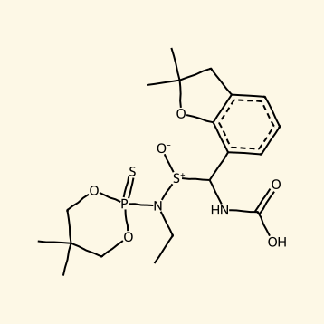 CCN([S+]([O-])C(NC(=O)O)c1cccc2c1OC(C)(C)C2)P1(=S)OCC(C)(C)CO1